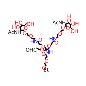 CCOCCOCCC(=O)NC(COCCC=O)(COCCC(=O)NCCOCCO[C@@H]1O[C@H](CO)[C@H](O)[C@H](O)[C@H]1NC(C)=O)COCCC(=O)NCCOCCO[C@@H]1O[C@H](CO)[C@H](O)[C@H](O)[C@H]1NC(C)=O